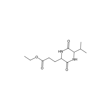 CCOC(=O)CCC1NC(=O)C(C(C)C)NC1=O